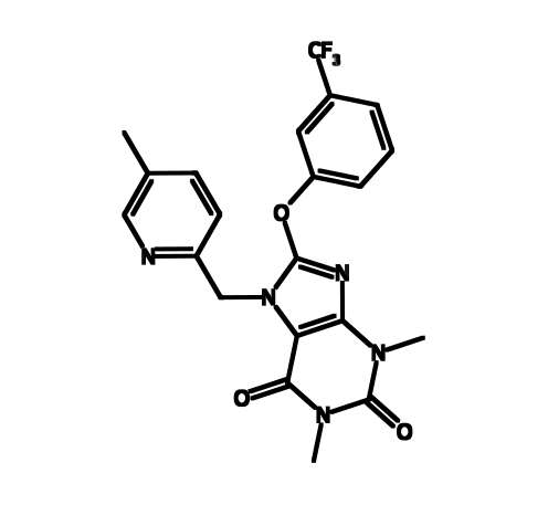 Cc1ccc(Cn2c(Oc3cccc(C(F)(F)F)c3)nc3c2c(=O)n(C)c(=O)n3C)nc1